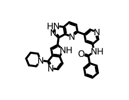 O=C(Nc1cncc(-c2ccc3[nH]nc(-c4cc5c(N6CCCCC6)nccc5[nH]4)c3n2)c1)c1ccccc1